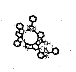 CC1C2=C3C(C)c4c(cccc41)-c1nc(-c4ccccc4)nc(n1)-n1c4ccccc4c4ccc5c6ccccc6n(c5c41)C1=CC3(C)C(=CC2(C)c2cccc3nc(-c4ccccc4)oc23)C=C1